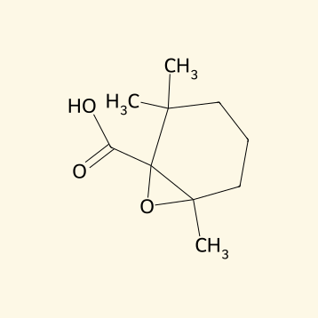 CC1(C)CCCC2(C)OC12C(=O)O